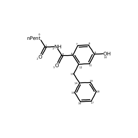 CCCCCC(=O)NC(=O)c1ccc(O)cc1Cc1ccccc1